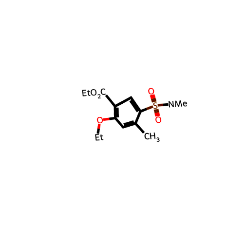 CCOC(=O)c1cc(S(=O)(=O)NC)c(C)cc1OCC